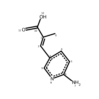 C/C(=C\c1ccc(N)nc1)C(=O)O